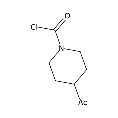 CC(=O)C1CCN(C(=O)Cl)CC1